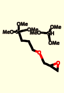 CO[SiH](OC)OC.CO[Si](CCCOCC1CO1)(OC)OC